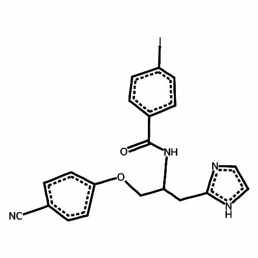 N#Cc1ccc(OCC(Cc2ncc[nH]2)NC(=O)c2ccc(I)cc2)cc1